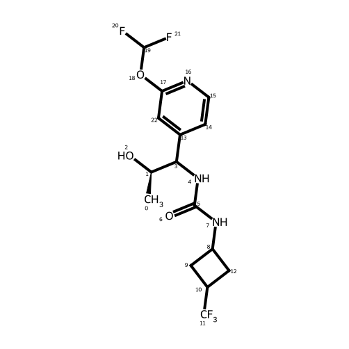 C[C@@H](O)C(NC(=O)NC1CC(C(F)(F)F)C1)c1ccnc(OC(F)F)c1